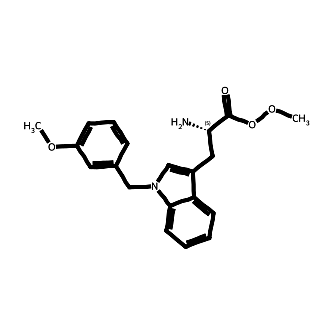 COOC(=O)[C@@H](N)Cc1cn(Cc2cccc(OC)c2)c2ccccc12